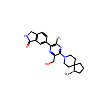 Cc1nc(N2CCC3(CCC[C@H]3C)CC2)c(CO)nc1-c1ccc2c(c1)C(=O)NC2